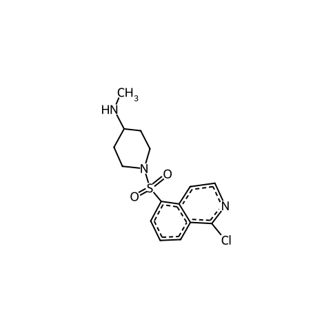 CNC1CCN(S(=O)(=O)c2cccc3c(Cl)nccc23)CC1